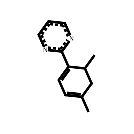 CC1=CC=C(c2ncccn2)C(C)C1